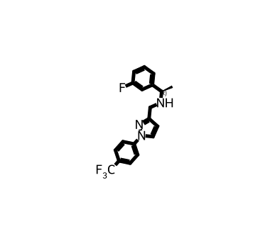 C[C@@H](NCc1ccn(-c2ccc(C(F)(F)F)cc2)n1)c1cccc(F)c1